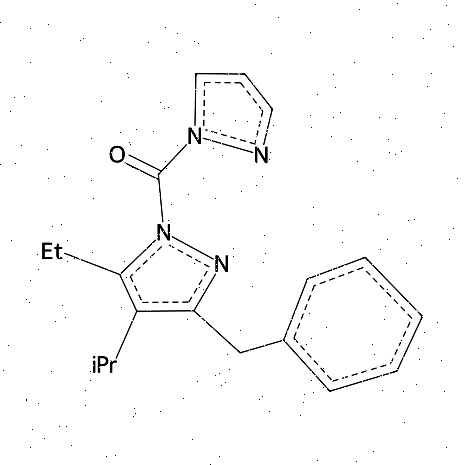 CCc1c(C(C)C)c(Cc2ccccc2)nn1C(=O)n1cccn1